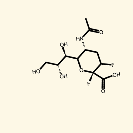 CC(=O)N[C@@H]1CC(F)[C@](F)(C(=O)O)OC1[C@H](O)[C@H](O)CO